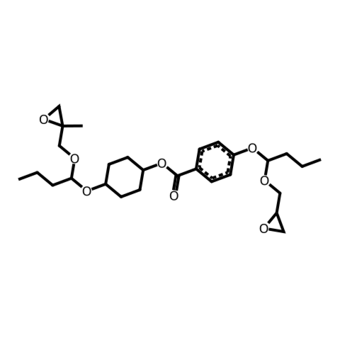 CCCC(OCC1CO1)Oc1ccc(C(=O)OC2CCC(OC(CCC)OCC3(C)CO3)CC2)cc1